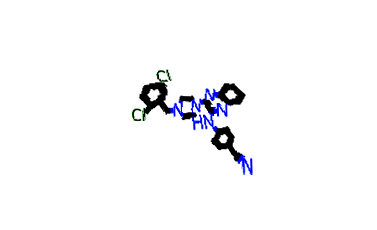 N#Cc1ccc(Nc2nc3ccccc3nc2N2CCN(Cc3cc(Cl)ccc3Cl)CC2)cc1